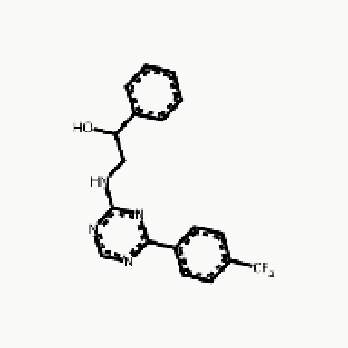 OC(CNc1ncnc(-c2ccc(C(F)(F)F)cc2)n1)c1ccccc1